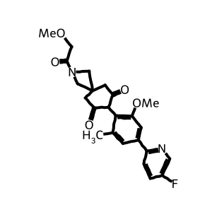 COCC(=O)N1CC2(CC(=O)C(c3c(C)cc(-c4ccc(F)cn4)cc3OC)C(=O)C2)C1